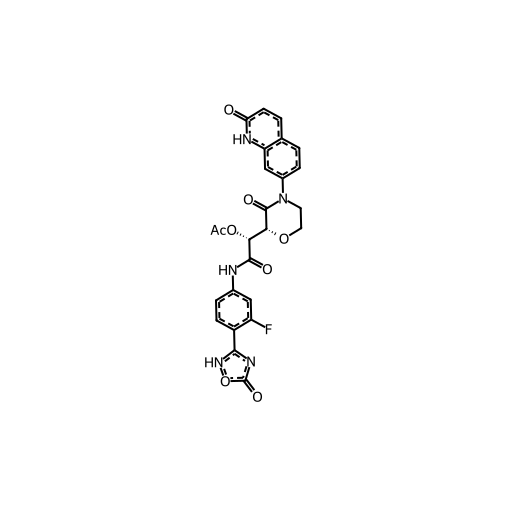 CC(=O)O[C@@H](C(=O)Nc1ccc(-c2nc(=O)o[nH]2)c(F)c1)[C@H]1OCCN(c2ccc3ccc(=O)[nH]c3c2)C1=O